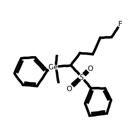 [CH3][Ge]([CH3])([c]1ccccc1)[CH](CCCCF)S(=O)(=O)c1ccccc1